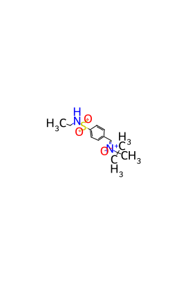 CCNS(=O)(=O)c1ccc(C=[N+]([O-])C(C)(C)C)cc1